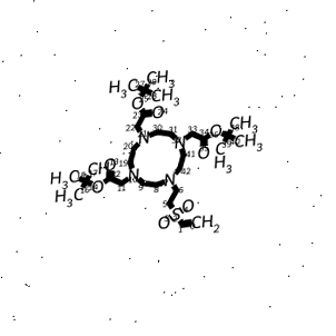 C=CS(=O)(=O)CCN1CCN(CC(=O)OC(C)(C)C)CCN(CC(=O)OC(C)(C)C)CCN(CC(=O)OC(C)(C)C)CC1